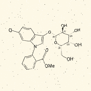 COC(=O)c1ccccc1-n1cc(O[C@H]2O[C@@H](CO)[C@@H](O)[C@@H](O)[C@@H]2O)c2ccc(Cl)cc21